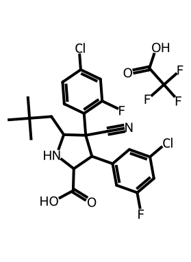 CC(C)(C)CC1NC(C(=O)O)C(c2cc(F)cc(Cl)c2)C1(C#N)c1ccc(Cl)cc1F.O=C(O)C(F)(F)F